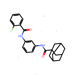 O=C(Nc1cccc(NC(=O)C23CC4CC(CC(C4)C2)C3)c1)c1ccccc1F